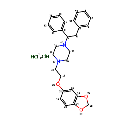 Cl.Cl.c1ccc(CC(c2ccccc2)N2CCN(CCOc3ccc4c(c3)OCO4)CC2)cc1